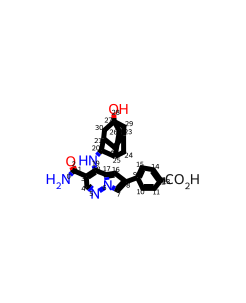 NC(=O)c1cnn2cc(-c3ccc(C(=O)O)cc3)cc2c1NC1C2CC3CC1CC(O)(C3)C2